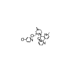 Cc1ccc(-c2ncccn2)c(C(=O)N2CC[C@H](C)C[C@H]2COc2cc(Cl)ccn2)n1